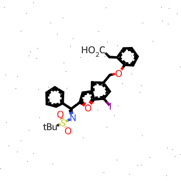 CC(C)(C)S(=O)(=O)N=C(c1ccccc1)c1cc2cc(COc3ccccc3CC(=O)O)cc(I)c2o1